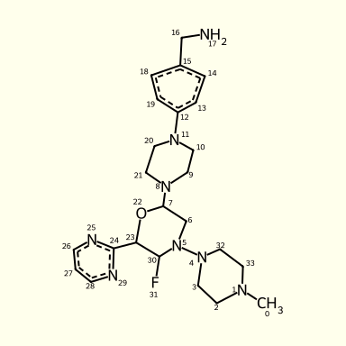 CN1CCN(N2CC(N3CCN(c4ccc(CN)cc4)CC3)OC(c3ncccn3)C2F)CC1